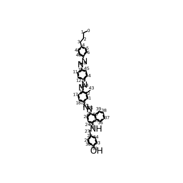 CCCCc1ccc(N=Nc2ccc(N=Nc3ccc(N=Nc4ccc(NCc5ccc(O)cc5)c5ccccc45)cc3C)cc2)cc1